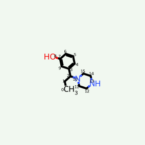 CCC(c1cccc(O)c1)N1CCNCC1